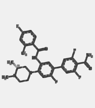 C[C@@H]1CN(c2cc(F)c(-c3cc(F)c(C(N)=O)c(F)c3)cc2NC(=O)c2ccc(F)cc2C(F)(F)F)CCN1C